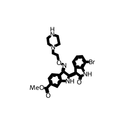 COC(=O)c1ccc2c(c1)NC(=C1\C(=O)Nc3c(Br)cccc31)/C2=N/OCCN1CCNCC1